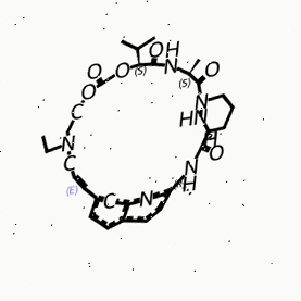 CCN1C/C=C/c2ccc3ccc(nc3c2)[C@@H](C)NC(=O)[C@@H]2CCCN(N2)C(=O)[C@H](C)NC(=O)[C@H](C(C)C)OC(=O)OCC1